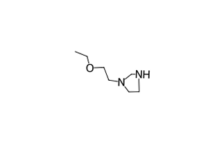 CCOCCN1CCNC1